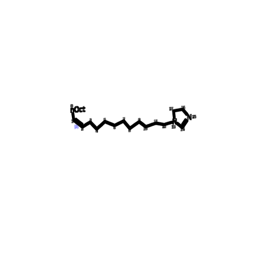 CCCCCCCC/C=C\CCCCCCCCCCN1C=NCC1